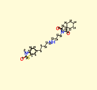 Cn1c(=O)sc2cc(CCCCNCCCCN3C(=O)CC4(CCCCC4)C3=O)ccc21